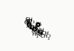 CC(C)(C)OC(=O)Nc1cnc(CN2CCN(S(C)(=O)=O)CC2)nc1-c1ccccc1